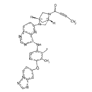 CC#CC(=O)N1C[C@@H]2C[C@H]1CN2c1ccc2ncnc(Nc3ccc(Oc4ccn5ncnc5c4)c(C)c3F)c2n1